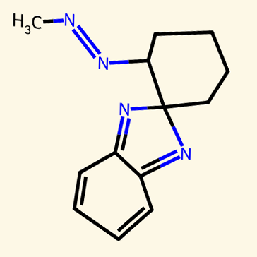 CN=NC1CCCCC12N=c1ccccc1=N2